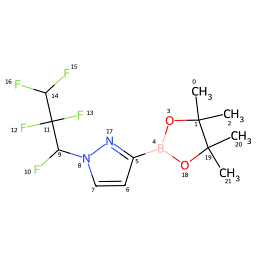 CC1(C)OB(c2ccn(C(F)C(F)(F)C(F)F)n2)OC1(C)C